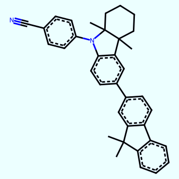 CC1(C)c2ccccc2-c2ccc(-c3ccc4c(c3)C3(C)CCCCC3(C)N4c3ccc(C#N)cc3)cc21